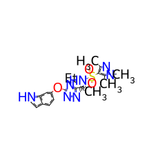 CCn1c(Oc2ccc3cc[nH]c3c2)nnc1[C@@H](C)NS(=O)(=O)c1c(C)nn(C)c1C